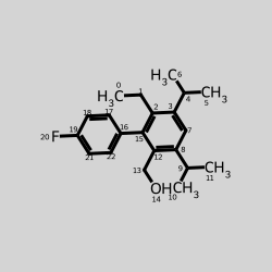 CCc1c(C(C)C)cc(C(C)C)c(CO)c1-c1ccc(F)cc1